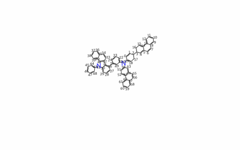 C1=CC(C2C=c3ccc4ccccc4c3=CC2)CC=C1N(c1cccc(-c2cccc3c2c2ccc4ccccc4c2n3-c2ccccc2)c1)c1ccc2c(ccc3ccccc32)c1